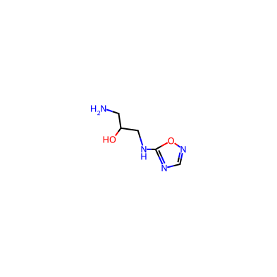 NCC(O)CNc1ncno1